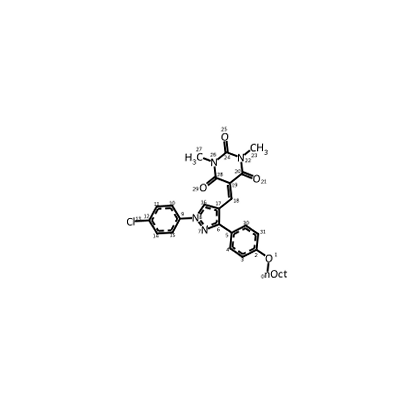 CCCCCCCCOc1ccc(-c2nn(-c3ccc(Cl)cc3)cc2C=C2C(=O)N(C)C(=O)N(C)C2=O)cc1